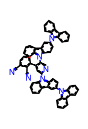 N#Cc1cccc(-c2cc(-n3c4ccccc4c4cc(-n5c6ccccc6c6ccccc65)ccc43)ncc2-n2c3ccccc3c3cc(-n4c5ccccc5c5ccccc54)ccc32)c1C#N